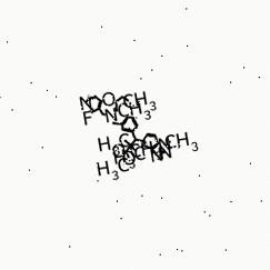 CCC1CN(Cc2cc(C(c3ccc4c(nnn4C)c3C)C(C)(C)C(=O)OC)ccc2C)Cc2c(ccnc2F)O1